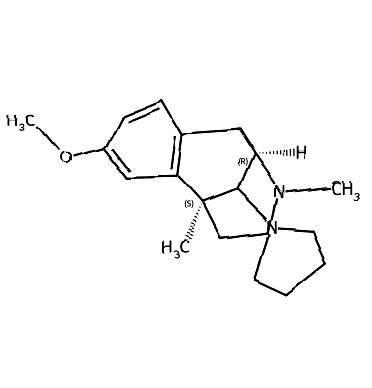 COc1ccc2c(c1)[C@]1(C)CCN(C)[C@H](C2)C1N1CCCC1